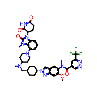 COc1cc2nn([C@H]3CC[C@H](CN(C)C4CCN(c5cccc6c5n(C)c(=O)n6C5CCC(=O)NC5=O)CC4)CC3)cc2cc1NC(=O)c1cnnc(C(F)(F)F)c1